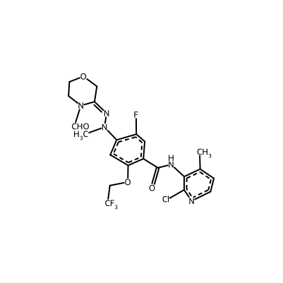 Cc1ccnc(Cl)c1NC(=O)c1cc(F)c(N(C)/N=C2/COCCN2C=O)cc1OCC(F)(F)F